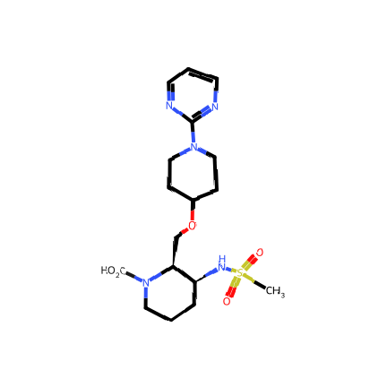 CS(=O)(=O)N[C@H]1CCCN(C(=O)O)[C@H]1COC1CCN(c2ncccn2)CC1